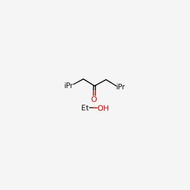 CC(C)CC(=O)CC(C)C.CCO